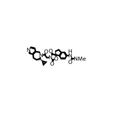 CNC(=O)Nc1ccc2c(c1)CC[C@]21OC(=O)N(CC(=O)N2Cc3ccncc3CC[C@@H]2C2CC2)C1=O